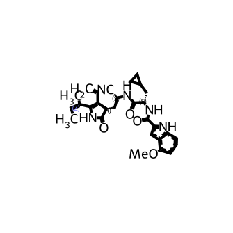 C=CC1=C(/C(C)=C\C)NC(=O)[C@@H]1C[C@@H](C#N)NC(=O)[C@H](CC1CC1)NC(=O)c1cc2c(OC)cccc2[nH]1